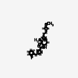 COC1CN(CCC2CC34N(C)C(=O)[C@@H](NC(=O)c5ncn(Cc6ccccc6F)n5)CCN3[N@]24)C1